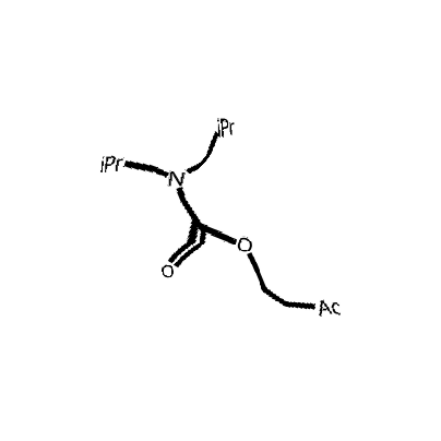 CC(=O)COC(=O)N(C(C)C)C(C)C